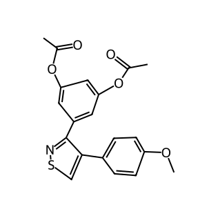 COc1ccc(-c2csnc2-c2cc(OC(C)=O)cc(OC(C)=O)c2)cc1